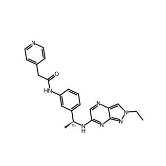 CCn1cc2ncc(N[C@@H](C)c3cccc(NC(=O)Cc4ccncc4)c3)nc2n1